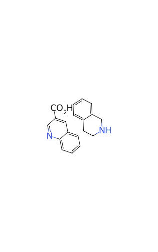 O=C(O)c1cnc2ccccc2c1.c1ccc2c(c1)CCNC2